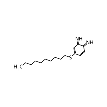 CCCCCCCCCCSC1=CC(=N)C(=N)C=C1